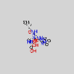 CCCCCCCC(=O)NCCCC[C@H](NC(=O)[C@@H](N)Cc1cn(C(c2ccccc2)(c2ccccc2)c2ccccc2)cn1)C(=O)N[C@H](Cc1cccnc1)C(=O)N[C@@H](Cc1ccc(O)cc1)C(=O)O